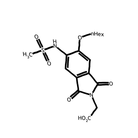 CCCCCCOc1cc2c(cc1NS(C)(=O)=O)C(=O)N(CC(=O)O)C2=O